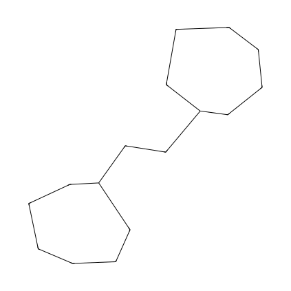 C1CCCC(CCC2CCCCCC2)CC1